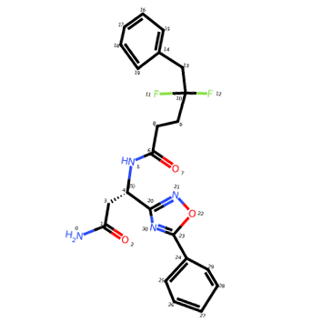 NC(=O)C[C@H](NC(=O)[CH]CC(F)(F)Cc1ccccc1)c1noc(-c2ccccc2)n1